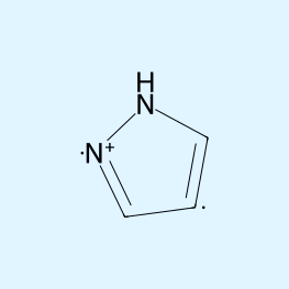 [C]1=CN[N+]=C1